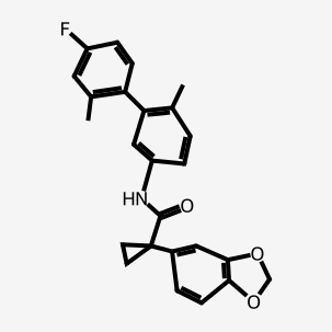 Cc1cc(F)ccc1-c1cc(NC(=O)C2(c3ccc4c(c3)OCO4)CC2)ccc1C